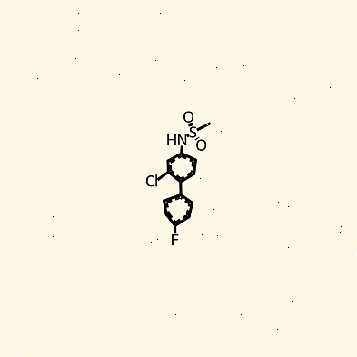 CS(=O)(=O)Nc1ccc(-c2ccc(F)cc2)c(Cl)c1